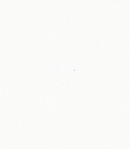 CCOC(=O)c1cccc(C(=O)NC(=O)[C@H](Cc2ccccc2)NC(=O)OC(C)(C)C)c1